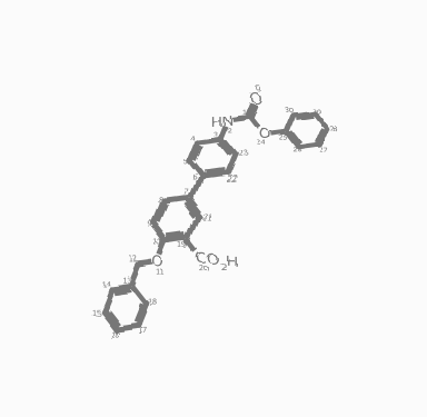 O=C(Nc1ccc(-c2ccc(OCc3ccccc3)c(C(=O)O)c2)cc1)Oc1ccccc1